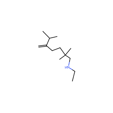 C=C(CCC(C)(C)CNCC)C(C)C